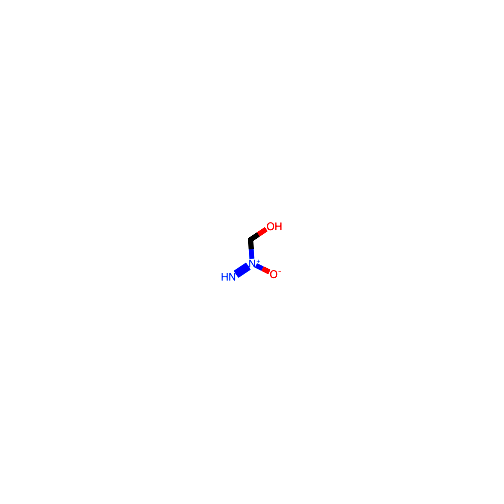 N=[N+]([O-])CO